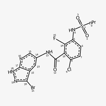 CCCS(=O)(=O)Nc1ccc(Cl)c(C(=O)Nc2cnc3[nH]nc(Br)c3c2)c1F